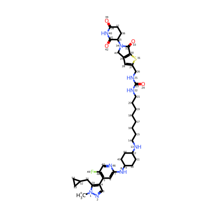 Cn1ncc(-c2cc(NC3CCC(NCCCCCCCCNC(=O)NCc4cc5c(s4)C(=O)N(C4CCC(=O)NC4=O)C5)CC3)ncc2F)c1CC1CC1